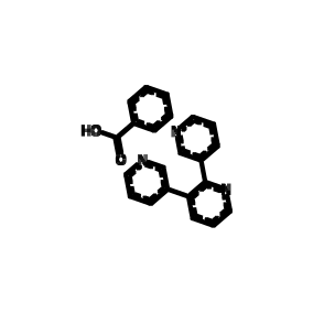 O=C(O)c1ccccc1.c1cncc(-c2cccnc2-c2cccnc2)c1